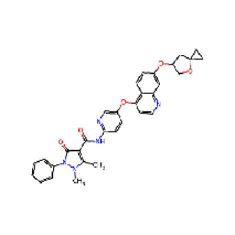 Cc1c(C(=O)Nc2ccc(Oc3ccnc4cc(OC5COC6(CC6)C5)ccc34)cn2)c(=O)n(-c2ccccc2)n1C